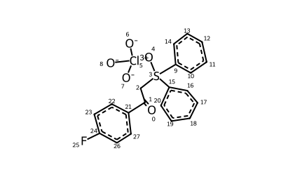 O=C(CS(O[Cl+3]([O-])([O-])[O-])(c1ccccc1)c1ccccc1)c1ccc(F)cc1